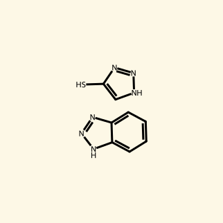 Sc1c[nH]nn1.c1ccc2[nH]nnc2c1